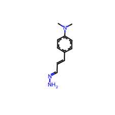 CN(C)c1ccc(C=CC=NN)cc1